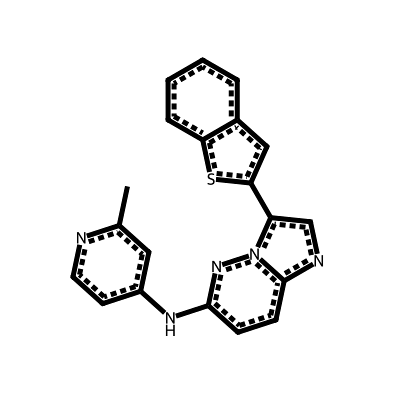 Cc1cc(Nc2ccc3ncc(-c4cc5ccccc5s4)n3n2)ccn1